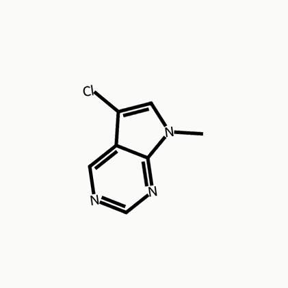 Cn1cc(Cl)c2cncnc21